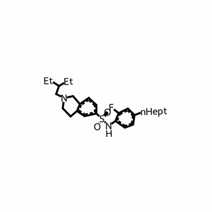 CCCCCCCc1ccc(NS(=O)(=O)c2ccc3c(c2)CCN(CC(CC)CC)C3)c(F)c1